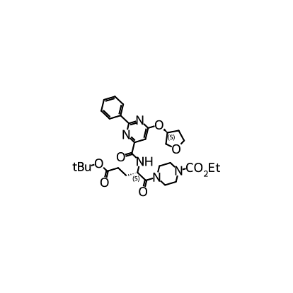 CCOC(=O)N1CCN(C(=O)[C@H](CCC(=O)OC(C)(C)C)NC(=O)c2cc(O[C@H]3CCOC3)nc(-c3ccccc3)n2)CC1